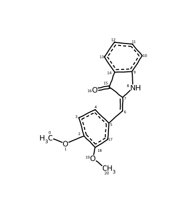 COc1ccc(C=C2Nc3ccccc3C2=O)cc1OC